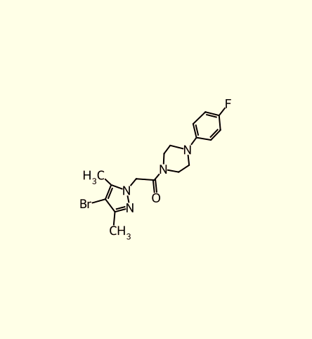 Cc1nn(CC(=O)N2CCN(c3ccc(F)cc3)CC2)c(C)c1Br